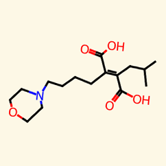 CC(C)C/C(C(=O)O)=C(/CCCCN1CCOCC1)C(=O)O